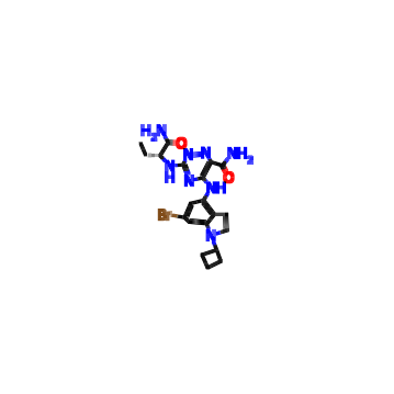 CC[C@@H](Nc1nnc(C(N)=O)c(Nc2cc(Br)cc3c2ccn3C2CCC2)n1)C(N)=O